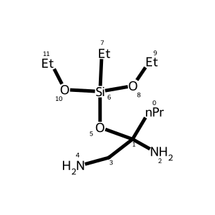 CCCC(N)(CN)O[Si](CC)(OCC)OCC